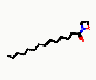 CCCCCCCCCCCCCC(=O)N1CCO1